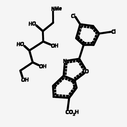 CNCC(O)C(O)C(O)C(O)CO.O=C(O)c1ccc2nc(-c3cc(Cl)cc(Cl)c3)oc2c1